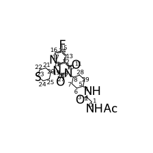 CC(=O)NCC(=O)N[C@H]1CC[C@@H](n2c(=O)c3cc(F)cnc3n(C3CCSCC3)c2=O)CC1